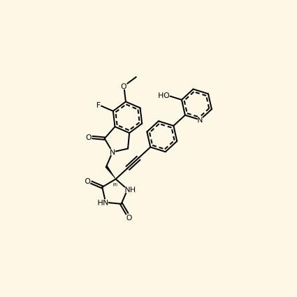 COc1ccc2c(c1F)C(=O)N(C[C@@]1(C#Cc3ccc(-c4ncccc4O)cc3)NC(=O)NC1=O)C2